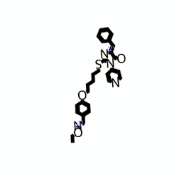 CCO/N=C/c1ccc(OCCCCCSC2=N/C(=C\c3ccccc3)C(=O)N2c2ccncc2)cc1